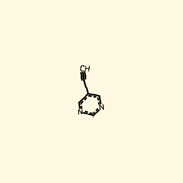 C#Cc1cn[c]nc1